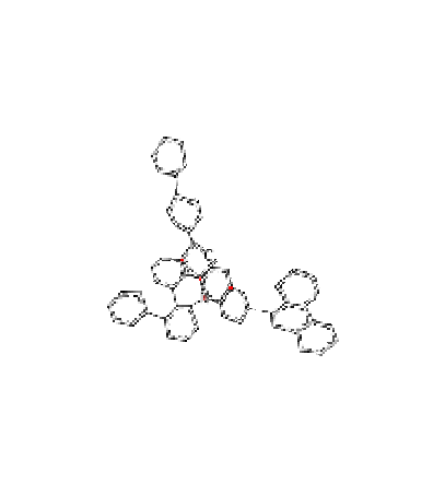 c1ccc(-c2ccc(-c3ccc(N(c4ccc(-c5cc6ccccc6c6ccccc56)cc4)c4cccc(-c5ccccc5)c4-c4ccccc4-c4ccccc4)cc3)cc2)cc1